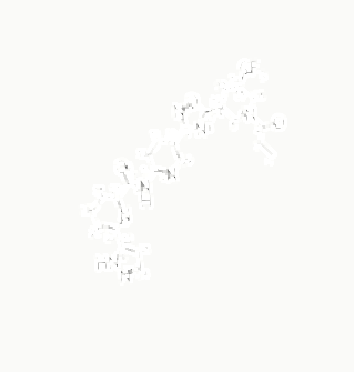 C=CC(=O)N1C[C@@H](c2nc(-c3ccc(NC(=O)c4cccc(-c5ccn[nH]5)n4)nc3)no2)C[C@@H](C(F)(F)F)C1